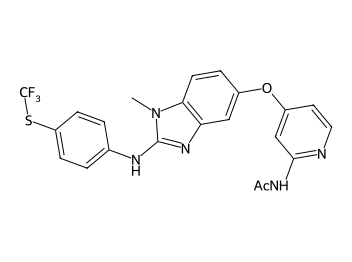 CC(=O)Nc1cc(Oc2ccc3c(c2)nc(Nc2ccc(SC(F)(F)F)cc2)n3C)ccn1